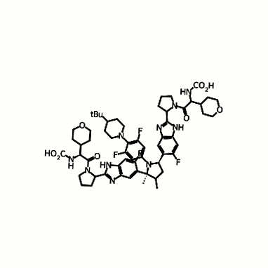 CC1C[C@H](c2cc3nc(C4CCCN4C(=O)C(NC(=O)O)C4CCOCC4)[nH]c3cc2F)N(c2cc(F)c(N3CCC(C(C)(C)C)CC3)c(F)c2)[C@]1(C)c1cc2nc(C3CCCN3C(=O)[C@@H](NC(=O)O)C3CCOCC3)[nH]c2cc1F